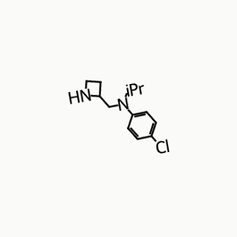 CC(C)N(CC1CCN1)c1ccc(Cl)cc1